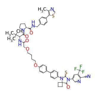 Cc1ncsc1-c1ccc(CNC(=O)[C@@H]2CCCN2C(=O)C(NC(=O)COCCCCOc2ccc(-c3ccc(N4C(=S)N(c5cnc(C#N)c(C(F)(F)F)c5)C(=O)C45CCC5)cc3)cc2)C(C)(C)C)cc1